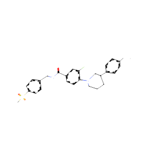 CCS(=O)(=O)c1ccc(CNC(=O)c2ccc(N3CCCC(c4ccc(C(F)(F)F)cc4)C3)c(F)c2)cc1